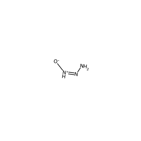 N/N=[NH+]\[O-]